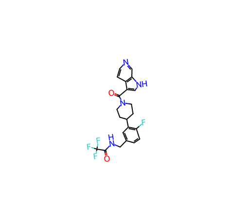 O=C(c1c[nH]c2cnccc12)N1CCC(c2cc(CNC(=O)C(F)(F)F)ccc2F)CC1